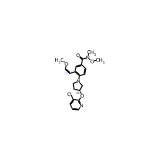 CO/C=C\c1cc(C(=O)N(C)OC)ccc1N1CC[C@H](Oc2ncccc2Cl)C1